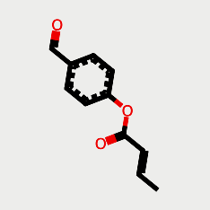 C/C=C/C(=O)Oc1ccc(C=O)cc1